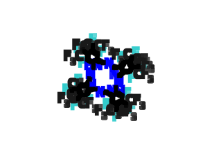 Fc1c2c(c(F)c(C(F)(C(F)(F)F)C(F)(F)F)c1C(F)(C(F)(F)F)C(F)(F)F)-c1nc-2nc2[nH]c(nc3nc(nc4[nH]c(n1)c1c(F)c(C(F)(C(F)(F)F)C(F)(F)F)c(C(F)(C(F)(F)F)C(F)(F)F)c(F)c41)-c1c(F)c(C(F)(C(F)(F)F)C(F)(F)F)c(C(F)(C(F)(F)F)C(F)(F)F)c(F)c1-3)c1c(F)c(C(F)(C(F)(F)F)C(F)(F)F)c(C(F)(C(F)(F)F)C(F)(F)F)c(F)c21